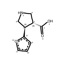 O=C(O)[C@H]1CNC[C@@H]1c1ccco1